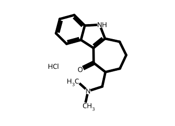 CN(C)CC1CCCc2[nH]c3ccccc3c2C1=O.Cl